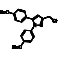 COc1ccc(-c2cc(CO)nn2-c2ccc(OC)cc2)cc1